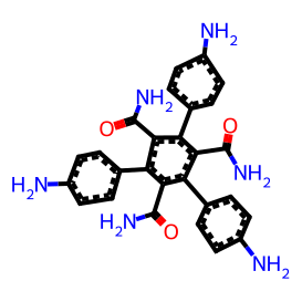 NC(=O)c1c(-c2ccc(N)cc2)c(C(N)=O)c(-c2ccc(N)cc2)c(C(N)=O)c1-c1ccc(N)cc1